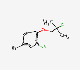 CC(C)c1ccc(OCC(C)(C)F)c(Cl)c1